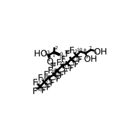 C=C(C)C(=O)O.OCC(O)CC(F)(F)C(F)(F)C(F)(F)C(F)(F)C(F)(F)C(F)(F)C(F)(F)C(F)(F)C(F)(F)F